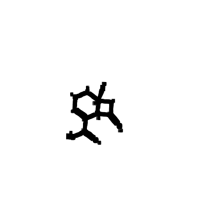 O=C(O)C1=COS[C@@H]2CC(=O)N12